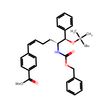 COC(=O)c1ccc(/C=C\CC[C@@H](NC(=O)OCc2ccccc2)[C@H](O[Si](C)(C)C(C)(C)C)c2ccccc2)cc1